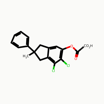 CC1(c2ccccc2)Cc2cc(OC(=O)C(=O)O)c(Cl)c(Cl)c2C1